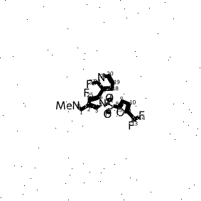 CNCc1cn(S(=O)(=O)c2ccc(C(F)F)o2)c(-c2cccnc2F)c1F